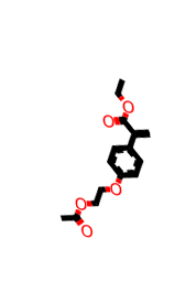 C=C(C(=O)OCC)c1ccc(OCCOC(C)=O)cc1